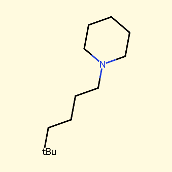 CC(C)(C)CCCCN1CCCCC1